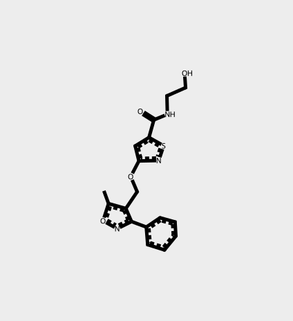 Cc1onc(-c2ccccc2)c1COc1cc(C(=O)NCCO)sn1